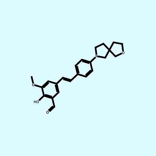 COc1cc(/C=C/c2ccc(N3CCC4(CCOC4)C3)cc2)cc(C=O)c1O